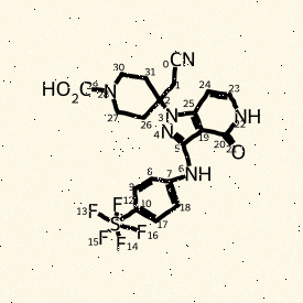 N#CCC1(n2nc(Nc3ccc(S(F)(F)(F)(F)F)cc3)c3c(=O)[nH]ccc32)CCN(C(=O)O)CC1